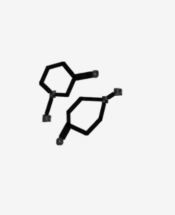 CCN1CCC(=O)CC1.CCN1CCCC(=O)C1